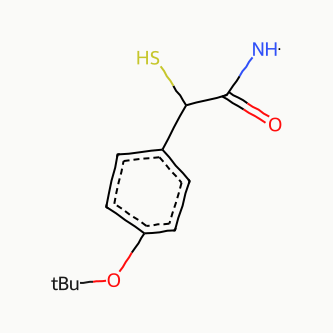 CC(C)(C)Oc1ccc(C(S)C([NH])=O)cc1